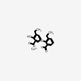 CCc1cccc(C(=O)[O-])c1O.CCc1cccc(C(=O)[O-])c1O.[Cu+2]